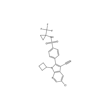 N#Cc1c(-c2ccc(S(=O)(=O)NC3(C(F)(F)F)CC3)cc2)n(C2CCC2)c2ncc(Cl)cc12